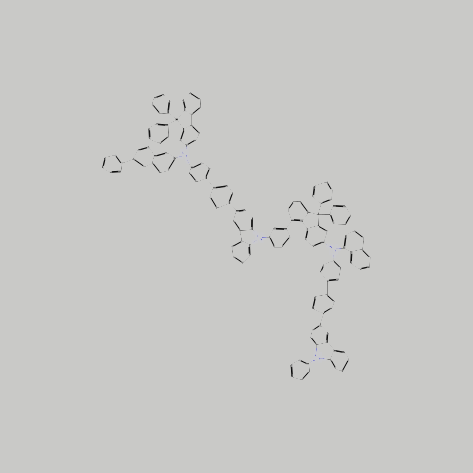 c1ccc(-c2ccc3cc(N(c4ccc(-c5ccc(-c6ccc7c(c6)c6ccccc6n7-c6cccc(-c7cccc8c7-c7ccc(N(c9ccc(-c%10ccc(-c%11ccc%12c(c%11)c%11ccccc%11n%12-c%11ccccc%11)cc%10)cc9)c9cccc%10ccccc9%10)cc7C8(c7ccccc7)c7ccccc7)c6)cc5)cc4)c4ccc5c(c4)C(c4ccccc4)(c4ccccc4)c4ccccc4-5)ccc3c2)cc1